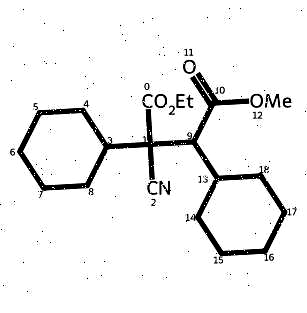 CCOC(=O)C(C#N)(C1CCCCC1)C(C(=O)OC)C1CCCCC1